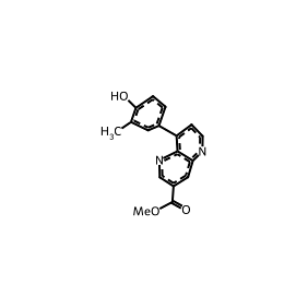 COC(=O)c1cnc2c(-c3ccc(O)c(C)c3)ccnc2c1